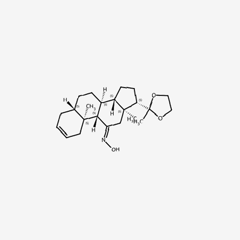 CC1([C@H]2CC[C@H]3[C@@H]4CC[C@H]5CC=CC[C@]5(C)[C@H]4C(=NO)C[C@]23C)OCCO1